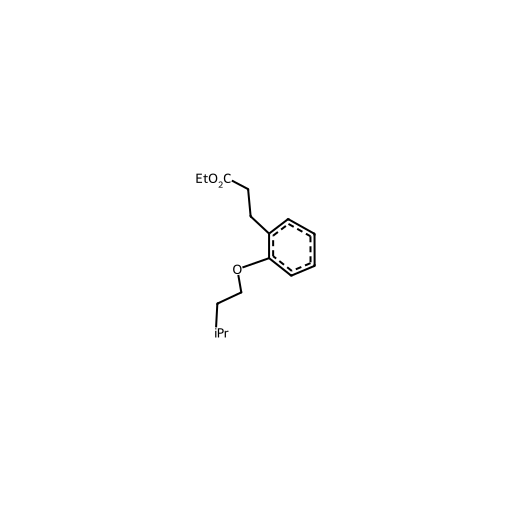 CCOC(=O)CCc1ccccc1OCCC(C)C